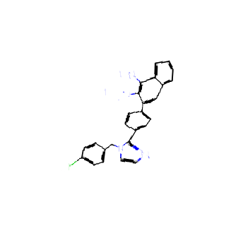 Nc1c(-c2ccc(-c3nccn3Cc3ccc(Cl)cc3)cc2)cc2ccccc2c1N